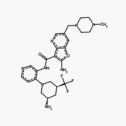 CN1CCN(Cc2cnc3c(C(=O)Nc4cnccc4N4C[C@H](N)C[C@H](C(F)(F)F)C4)c(N)oc3c2)CC1